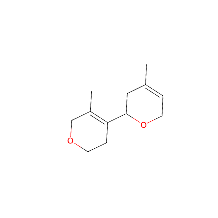 CC1=CCOC(C2=C(C)COCC2)C1